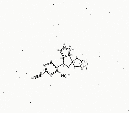 CCC1(CC)CC(c2ccc(C#N)cc2)c2cn[nH]c21.Cl